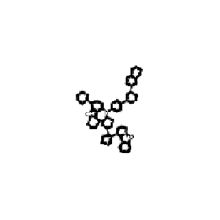 c1ccc(-c2ccc(N(c3ccc(-c4cccc(-c5ccc6ccccc6c5)c4)cc3)c3ccc(-c4ccccc4-c4cccc5oc6ccccc6c45)cc3)c3c2oc2ccccc23)cc1